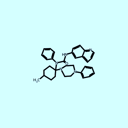 CC1CCC(N2CCN(c3ccccc3)CC2)(N(C(=O)Nc2ccc3ncccc3c2)c2ccccc2)CC1